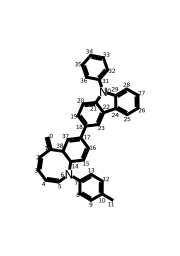 C=C1/C=C\C=C/N(c2ccc(C)cc2)C2C=CC(c3ccc4c(c3)c3ccccc3n4-c3ccccc3)=CC12